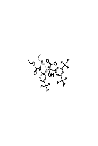 CCOC(=O)N1c2ccc(C(F)(F)F)cc2[C@@H]([C@](O)(C(=O)OC)c2cc(C(F)(F)F)cc(C(F)(F)F)c2)C[C@H]1CC